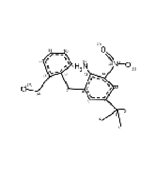 CC(C)(C)c1cc(Cc2ccccc2CCl)c(N)c([N+](=O)[O-])c1